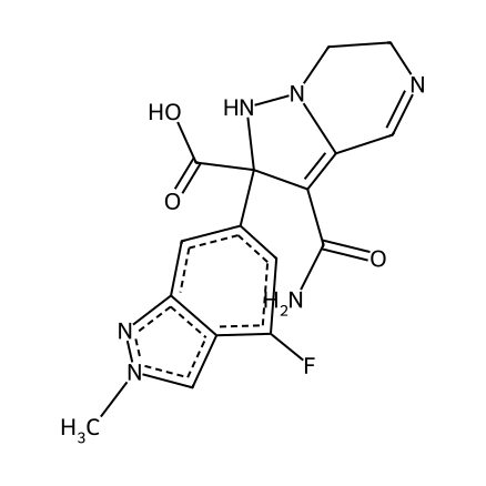 Cn1cc2c(F)cc(C3(C(=O)O)NN4CCN=CC4=C3C(N)=O)cc2n1